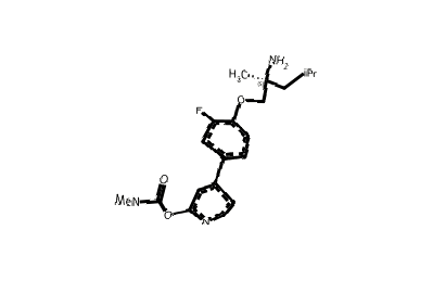 CNC(=O)Oc1cc(-c2ccc(OC[C@@](C)(N)CC(C)C)c(F)c2)ccn1